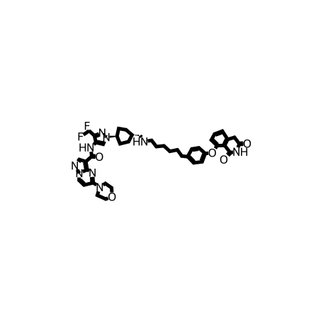 O=C1Cc2cccc(Oc3ccc(CCCCCCNC[C@H]4CC[C@H](n5cc(NC(=O)c6cnn7ccc(N8CCOCC8)nc67)c(C(F)F)n5)CC4)cc3)c2C(=O)N1